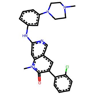 CN1CCN(c2cccc(Nc3cc4c(cn3)cc(-c3ccccc3Cl)c(=O)n4C)c2)CC1